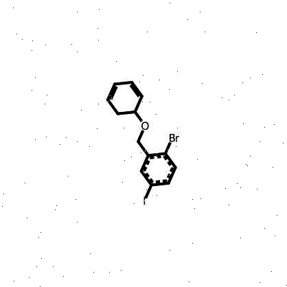 Brc1ccc(I)cc1COC1C=CC=CC1